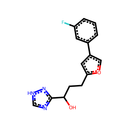 OC(CCc1cc(-c2cccc(F)c2)co1)c1nc[nH]n1